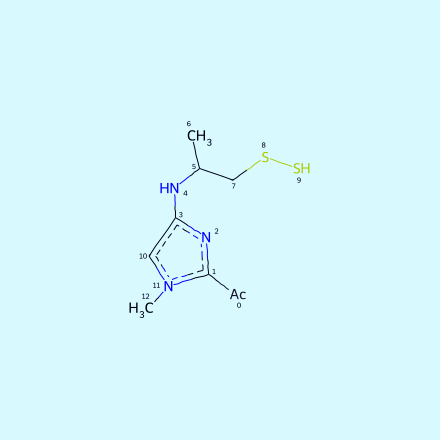 CC(=O)c1nc(NC(C)CSS)cn1C